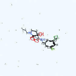 CCCN1CCC(O)(C(=O)NCc2cc(F)cc(Cl)c2)C1=O